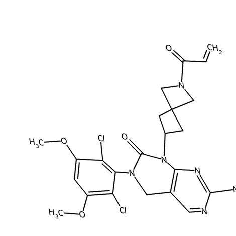 C=CC(=O)N1CC2(CC(N3C(=O)N(c4c(Cl)c(OC)cc(OC)c4Cl)Cc4cnc(N)nc43)C2)C1